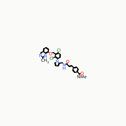 CNC(=O)c1ccc(/C=C/C(=O)NCc2cccn2-c2ccc(Cl)c(COc3cccc4cnc(C)nc34)c2Cl)cc1